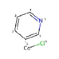 [Cl][Co].c1ccncc1